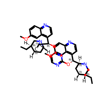 CC[C@H]1CN2CC[C@H]1C[C@H]2[C@H](Oc1ccnc(O[C@H](c2ccnc3ccc(OC)cc23)[C@@H]2C[C@@H]3CCN2C[C@@H]3CC)n1)c1ccnc2ccc(OC)cc12